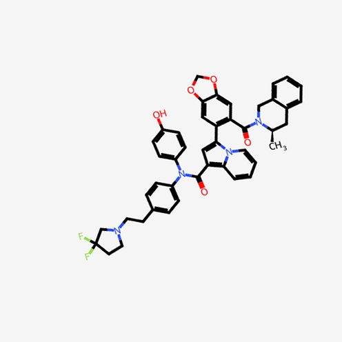 C[C@@H]1Cc2ccccc2CN1C(=O)c1cc2c(cc1-c1cc(C(=O)N(c3ccc(O)cc3)c3ccc(CCN4CCC(F)(F)C4)cc3)c3ccccn13)OCO2